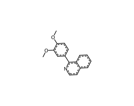 COc1ccc(-c2nccc3ccccc23)cc1OC